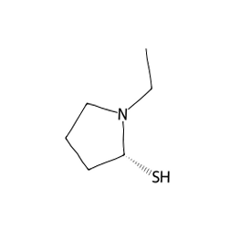 CCN1CCC[C@H]1S